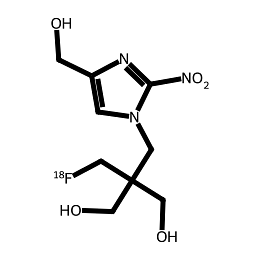 O=[N+]([O-])c1nc(CO)cn1CC(CO)(CO)C[18F]